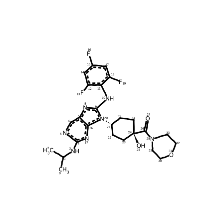 CC(C)Nc1ncc2nc(Nc3c(F)cc(F)cc3F)n([C@H]3CC[C@@](O)(C(=O)N4CCOCC4)CC3)c2n1